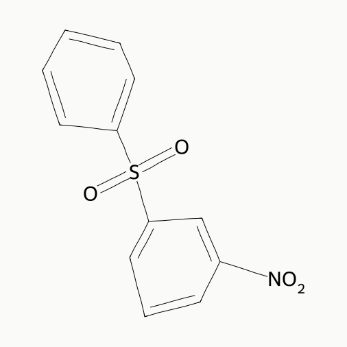 O=[N+]([O-])c1cccc(S(=O)(=O)c2ccccc2)c1